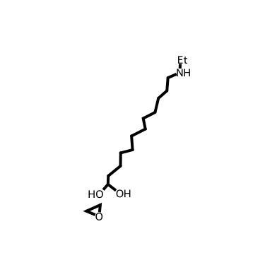 C1CO1.CCNCCCCCCCCCCCC(O)O